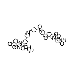 CC1(C)c2ccc(C3CCN(CC4CCC(C(=O)N5CCC6(CC5)COc5c6ccc6c5CN([C@H]5CCC(=O)NC5=O)C6=O)CC4)CC3)cc2-n2c1nc(=O)c1c(Cl)cccc12